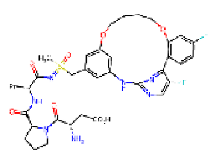 CC(C)[C@H](NC(=O)[C@@H]1CCCN1C(=O)[C@@H](N)CC(=O)O)C(=O)N=[S@@](C)(=O)Cc1cc2cc(c1)OCCCCOc1cc(F)ccc1-c1nc(ncc1F)N2